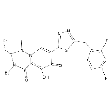 CCN1C(=O)c2c(O)c(=O)c(-c3nnc(Cc4ccc(F)cc4F)s3)cn2N(C)C1CC(C)C